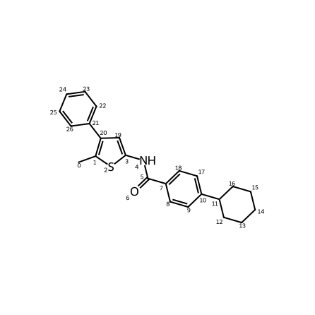 Cc1sc(NC(=O)c2ccc(C3CCCCC3)cc2)cc1-c1ccccc1